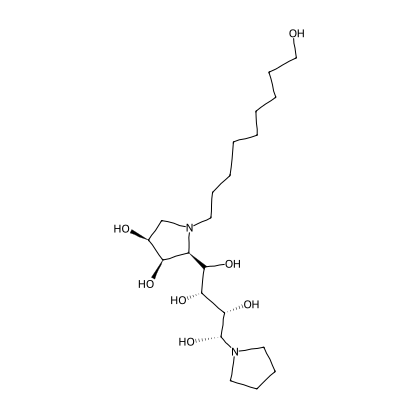 OCCCCCCCCCN1C[C@H](O)[C@H](O)[C@@H]1C(O)[C@@H](O)[C@H](O)[C@@H](O)N1CCCC1